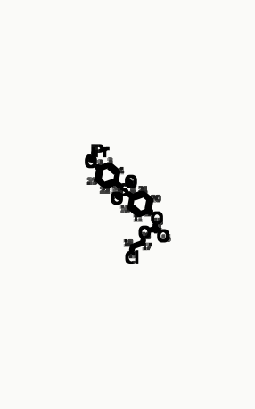 CC(C)Oc1ccc(S(=O)(=O)c2ccc(OC(=O)OCCCl)cc2)cc1